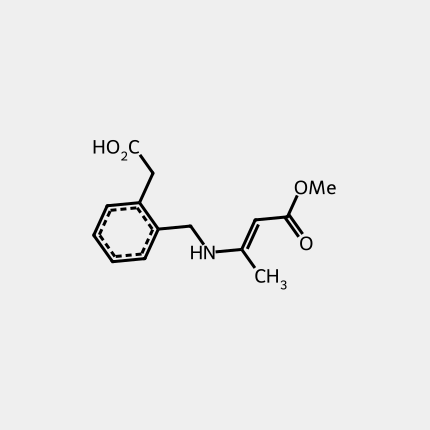 COC(=O)C=C(C)NCc1ccccc1CC(=O)O